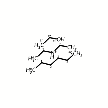 CCCCCC.CCNCC.CCO